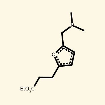 CCOC(=O)CCc1ccc(CN(C)C)o1